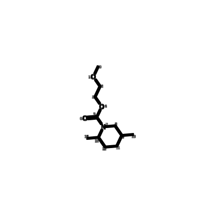 COCCOC(=O)N1CC(C)CCC1C